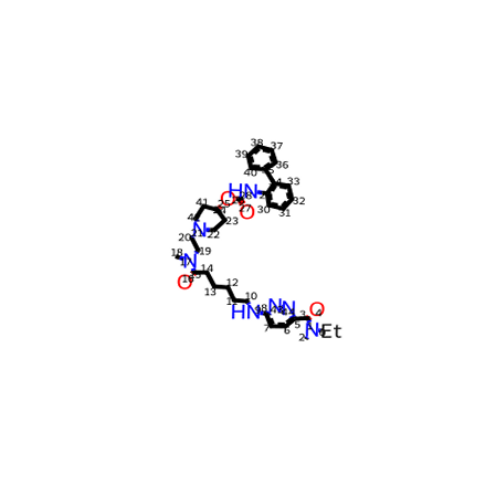 CCN(C)C(=O)c1ccc(NCCCCCC(=O)N(C)CCN2CCC(OC(=O)Nc3ccccc3-c3ccccc3)CC2)nn1